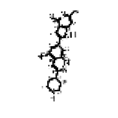 Cc1cc2[nH]c(-c3cc(F)c4cc(C5CCNCC5)nnc4c3)cc2c(C)n1